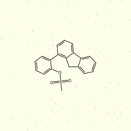 CS(=O)(=O)Oc1ccccc1-c1cccc2c1Cc1ccccc1-2